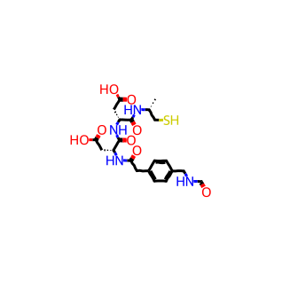 C[C@H](CS)NC(=O)[C@@H](CC(=O)O)NC(=O)[C@@H](CC(=O)O)NC(=O)Cc1ccc(CNC=O)cc1